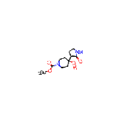 CC(C)(C)OC(=O)N1CCC(O)(C2CCNC2=O)CC1